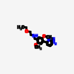 CCOCCNCc1cc(OC)c(-c2cccc(N)n2)cc1OC